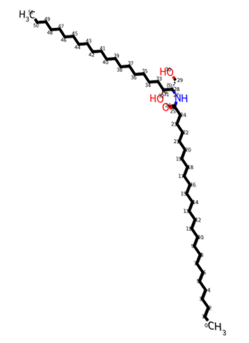 CCCCCCCCCCCCCCCCCCCCCCCCCC(=O)N[C@@H](CO)[C@H](O)CCCCCCCCCCCCCCCCCCC